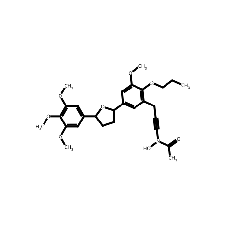 CCCOc1c(CC#CN(O)C(C)=O)cc(C2CCC(c3cc(OC)c(OC)c(OC)c3)O2)cc1OC